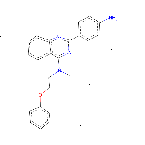 CN(CCOc1ccccc1)c1nc(-c2ccc(N)cc2)nc2ccccc12